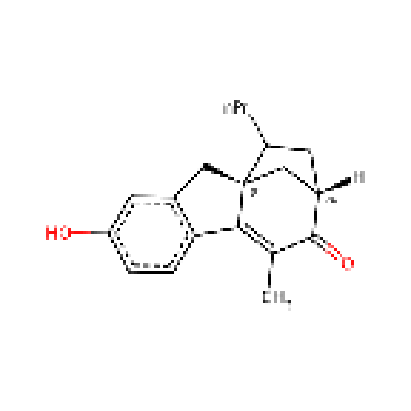 CCCC1C[C@H]2C[C@@]13Cc1cc(O)ccc1C3=C(C)C2=O